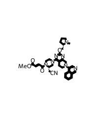 COC(=O)/C=C/C(=O)N1CCN(c2nc(OC[C@@H]3CCCN3C)nc3c2CCN(c2cncc4ccccc24)C3)C[C@@H]1CC#N